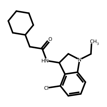 CCN1CC(NC(=O)CC2CCCCC2)c2c(Cl)cccc21